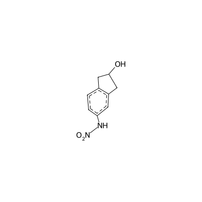 O=[N+]([O-])Nc1ccc2c(c1)CC(O)C2